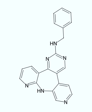 c1ccc(CNc2ncc3c(n2)-c2cccnc2Nc2cnccc2-3)cc1